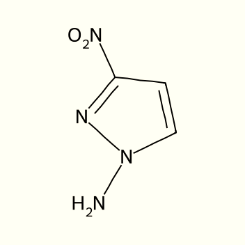 Nn1ccc([N+](=O)[O-])n1